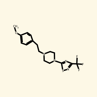 COc1ccc(CCN2CCN(c3nc(C(F)(F)F)ns3)CC2)cc1